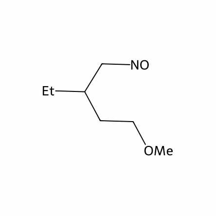 CCC(CCOC)CN=O